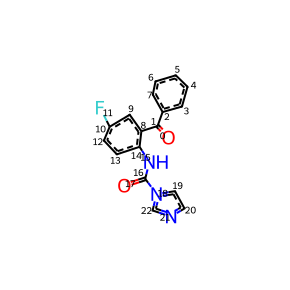 O=C(c1ccccc1)c1cc(F)ccc1NC(=O)n1ccnc1